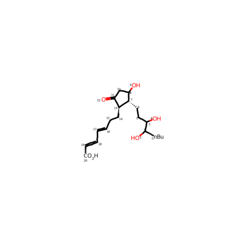 CCCCC(O)C(O)CC[C@H]1C(O)CC(=O)[C@@H]1CCC=CC=CC(=O)O